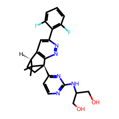 CC1(C)[C@H]2CC[C@@]1(c1ccnc(NC(CO)CO)n1)c1nnc(-c3c(F)cccc3F)cc12